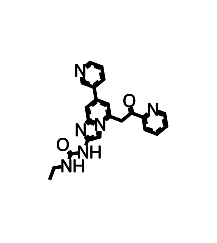 CCNC(=O)Nc1cn2c(CC(=O)c3ccccn3)cc(-c3cccnc3)cc2n1